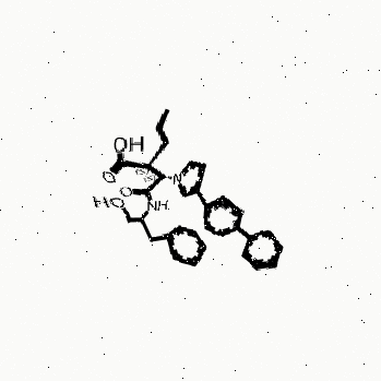 CCC[C@H](C(=O)O)[C@@H](C(=O)NC(CO)Cc1ccccc1)n1ccc(-c2ccc(-c3ccccc3)cc2)c1